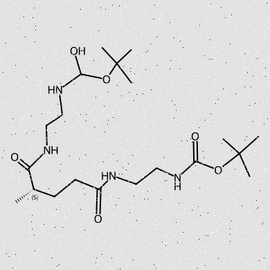 C[C@@H](CCC(=O)NCCNC(=O)OC(C)(C)C)C(=O)NCCNC(O)OC(C)(C)C